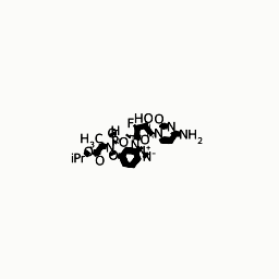 CC(C)OC(=O)C(C)N(Oc1ccccc1)[PH](=O)OC[C@@]1(N=[N+]=[N-])O[C@@H](n2ccc(N)nc2=O)[C@H](O)[C@@H]1F